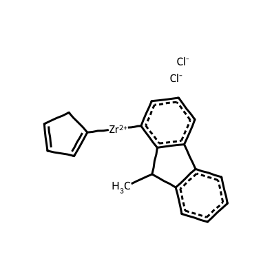 CC1c2ccccc2-c2ccc[c]([Zr+2][C]3=CC=CC3)c21.[Cl-].[Cl-]